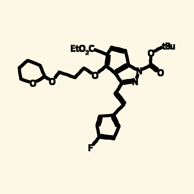 CCOC(=O)c1ccc2c(c(C=Cc3ccc(F)cc3)nn2C(=O)OC(C)(C)C)c1OCCCOC1CCCCO1